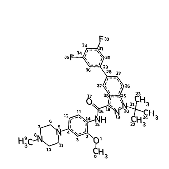 COc1cc(N2CCN(C)CC2)ccc1NC(=O)c1nn(C(C)(C)C)c2ccc(-c3cc(F)cc(F)c3)cc12